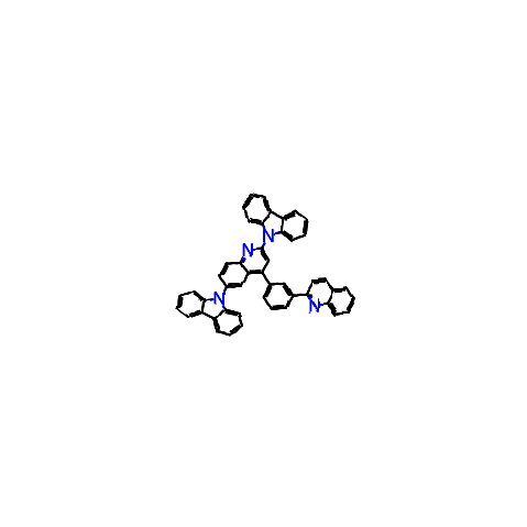 c1cc(-c2ccc3ccccc3n2)cc(-c2cc(-n3c4ccccc4c4ccccc43)nc3ccc(-n4c5ccccc5c5ccccc54)cc23)c1